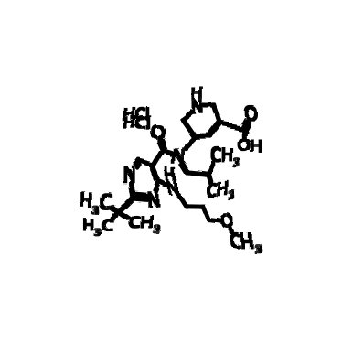 COCCCNc1nc(C(C)(C)C)ncc1C(=O)N(CC(C)C)C1CNCC(C(=O)O)C1.Cl.Cl